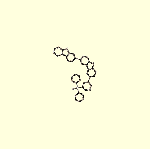 O=P(c1ccccc1)(c1ccccc1)c1cncc(-c2ccc3sc4ccc(-c5ccc6c(c5)sc5ccccc56)cc4c3c2)c1